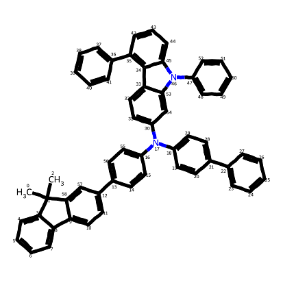 CC1(C)c2ccccc2-c2ccc(-c3ccc(N(c4ccc(-c5ccccc5)cc4)c4ccc5c6c(-c7ccccc7)cccc6n(-c6ccccc6)c5c4)cc3)cc21